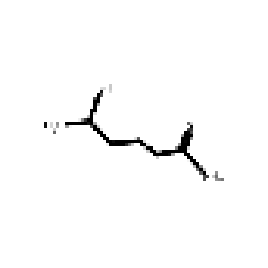 CC(S)CCCC(N)=S